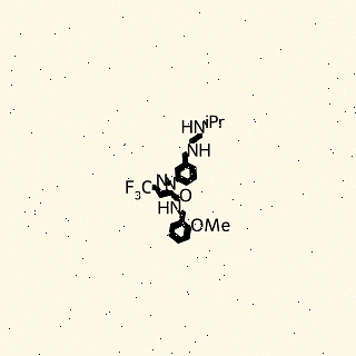 COc1ccccc1CNC(=O)c1cc(C(F)(F)F)nn1-c1cccc(CNCCNC(C)C)c1